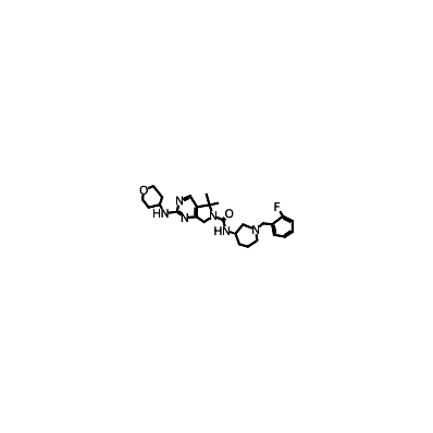 CC1(C)c2cnc(NC3CCOCC3)nc2CN1C(=O)N[C@@H]1CCCN(Cc2ccccc2F)C1